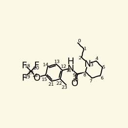 CCCN1CCCC[C@H]1C(=O)Nc1ccc(OC(F)(F)F)cc1C